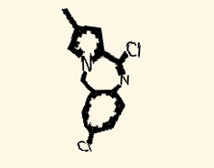 Cc1cc2n(c1)Cc1cc(Cl)ccc1N=C2Cl